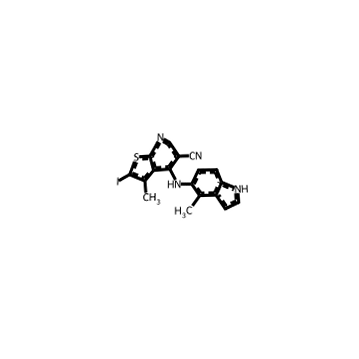 Cc1c(Nc2c(C#N)cnc3sc(I)c(C)c23)ccc2[nH]ccc12